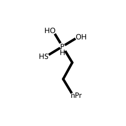 CCCCC[PH](O)(O)S